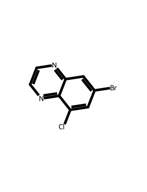 Clc1cc(Br)cc2nccnc12